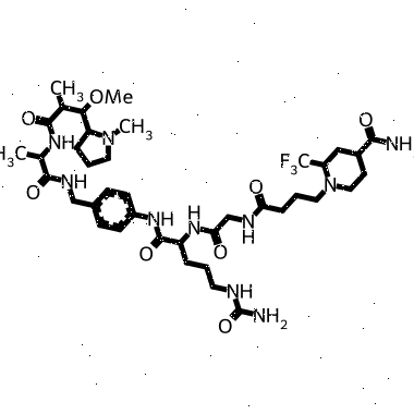 COC(C(C)C(=O)NC(C)C(=O)NCc1ccc(NC(=O)C(CCCNC(N)=O)NC(=O)CNC(=O)CCCN2CCC(C(N)=O)CC2C(F)(F)F)cc1)C1CCCN1C